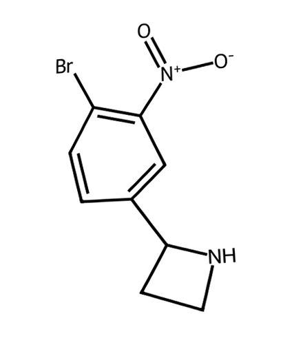 O=[N+]([O-])c1cc(C2CCN2)ccc1Br